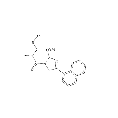 CC(=O)SCC(C)C(=O)N1CC(c2cccc3ccccc23)=CC1C(=O)O